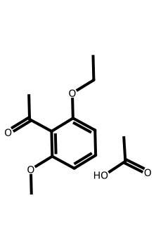 CC(=O)O.CCOc1cccc(OC)c1C(C)=O